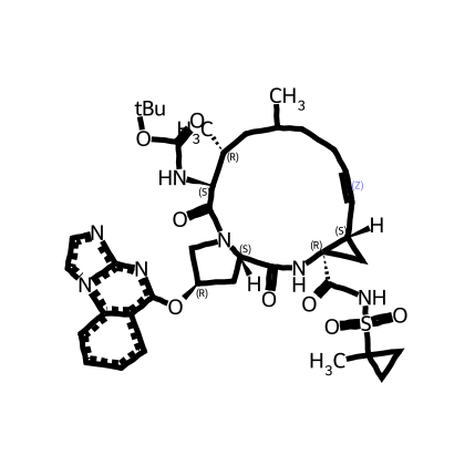 CC1CC/C=C\[C@@H]2C[C@@]2(C(=O)NS(=O)(=O)C2(C)CC2)NC(=O)[C@@H]2C[C@@H](Oc3nc4nccn4c4ccccc34)CN2C(=O)[C@@H](NC(=O)OC(C)(C)C)[C@H](C)C1